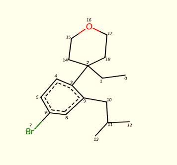 CCC1(c2ccc(Br)cc2CC(C)C)CCOCC1